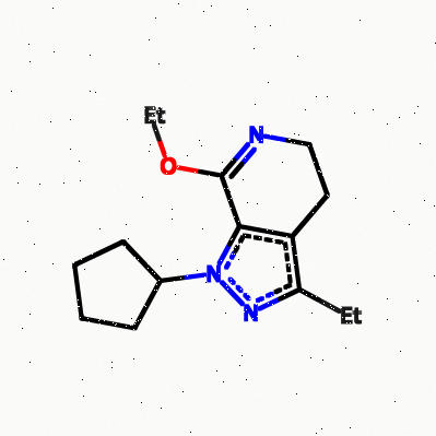 CCOC1=NCCc2c(CC)nn(C3CCCC3)c21